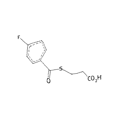 O=C(O)CCSC(=O)c1ccc(F)cc1